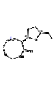 O=C1NCOC/C=C\N1[C@H]1CC[C@@H](CI)O1